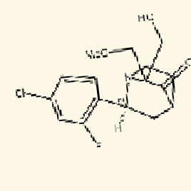 COCC1(CO)C(=O)C2CCN1[C@H](c1ccc(Cl)cc1F)C2